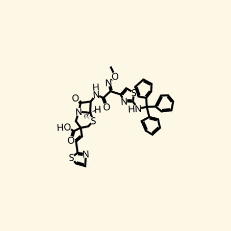 CON=C(C(=O)NC1C(=O)N2CC(C=Cc3nccs3)(C(=O)O)CS[C@H]12)c1csc(NC(c2ccccc2)(c2ccccc2)c2ccccc2)n1